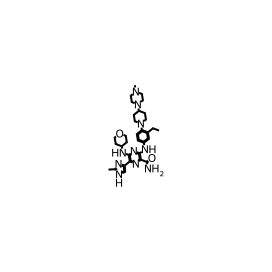 CCc1cc(Nc2nc(NC3CCOCC3)c(-c3c[nH]c(C)n3)nc2C(N)=O)ccc1N1CCC(N2CCN(C)CC2)CC1